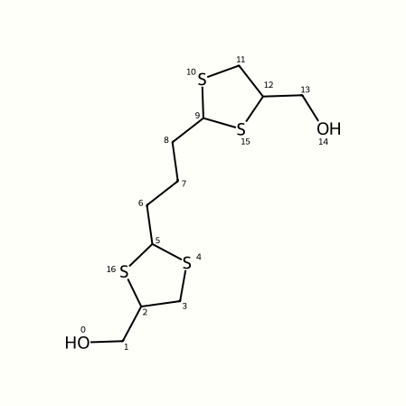 OCC1CSC(CCCC2SCC(CO)S2)S1